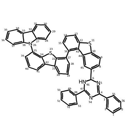 c1ccc(C2=NC(c3ccc4sc5cccc(-c6cccc7c6sc6c(-n8c9ccccc9c9ccccc98)cccc67)c5c4c3)NC(c3ccccc3)=N2)cc1